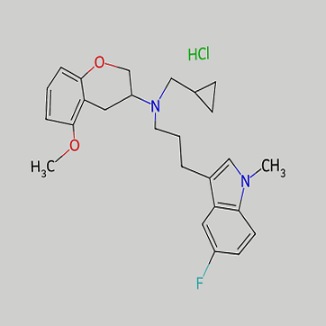 COc1cccc2c1CC(N(CCCc1cn(C)c3ccc(F)cc13)CC1CC1)CO2.Cl